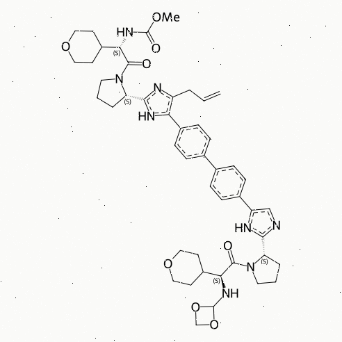 C=CCc1nc([C@@H]2CCCN2C(=O)[C@@H](NC(=O)OC)C2CCOCC2)[nH]c1-c1ccc(-c2ccc(-c3cnc([C@@H]4CCCN4C(=O)[C@@H](NC4OCO4)C4CCOCC4)[nH]3)cc2)cc1